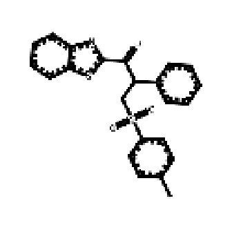 Cc1ccc(S(=O)(=O)CC(C(=O)c2nc3ccccc3s2)c2ccccc2)cc1